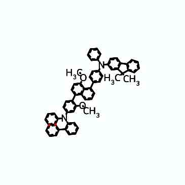 COc1cc(N(c2ccccc2)c2ccccc2-c2ccccc2)ccc1-c1ccc(OC)c2c(-c3ccc(N(c4ccccc4)c4ccc5c(c4)C(C)(C)c4ccccc4-5)cc3)cccc12